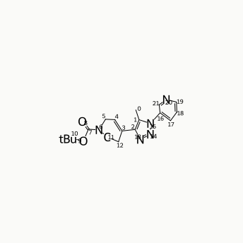 Cc1c(C2=CCN(C(=O)OC(C)(C)C)CC2)nnn1-c1cccnc1